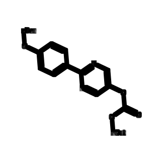 CCCCCCCCCCOc1ccc(-c2ncc(OC(=O)OCCCCCCCC)cn2)cc1